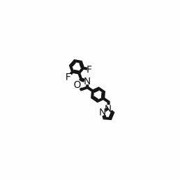 Fc1cccc(F)c1C1=NC(c2ccc(Cn3cccn3)cc2)CO1